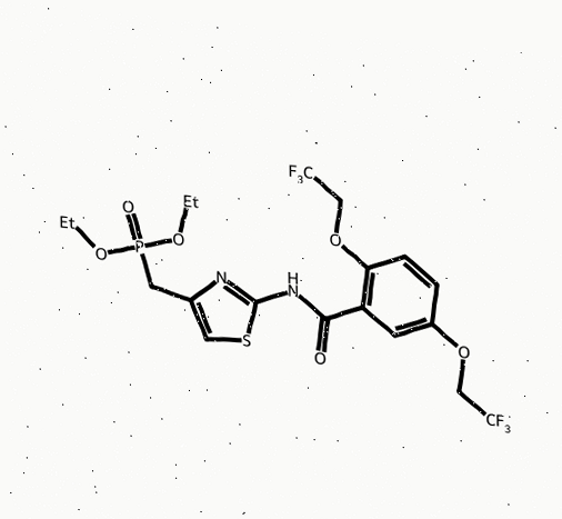 CCOP(=O)(Cc1csc(NC(=O)c2cc(OCC(F)(F)F)ccc2OCC(F)(F)F)n1)OCC